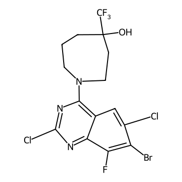 OC1(C(F)(F)F)CCCN(c2nc(Cl)nc3c(F)c(Br)c(Cl)cc23)CC1